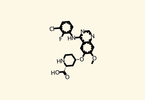 COc1cc2ncnc(Nc3cccc(Cl)c3F)c2cc1O[C@H]1CCN[C@@H](C(=O)O)C1